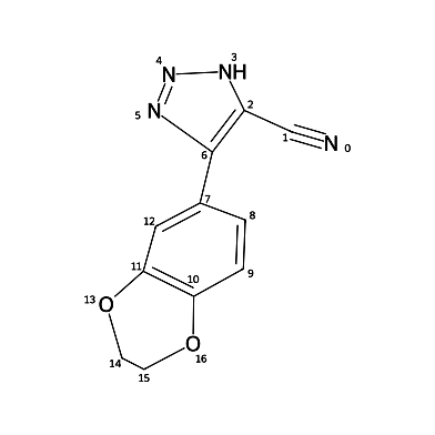 N#Cc1[nH]nnc1-c1ccc2c(c1)OCCO2